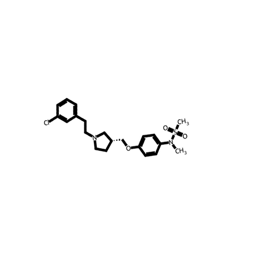 CN(c1ccc(OC[C@@H]2CCN(CCc3cccc(Cl)c3)C2)cc1)S(C)(=O)=O